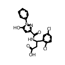 O=C(O)CC(NC(=O)c1cc(O)n(-c2ccccc2)n1)c1cc(Cl)ccc1Cl